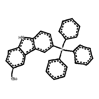 CC(C)(C)c1ccc2[nH]c3ccc(S(c4ccccc4)(c4ccccc4)c4ccccc4)cc3c2c1